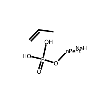 C=CC.CCCCCOP(=O)(O)O.[NaH]